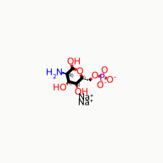 N[C@H]1C(O)O[C@H](COP(=O)([O-])[O-])[C@@H](O)[C@@H]1O.[Na+].[Na+]